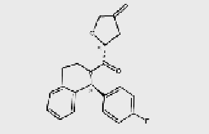 C=C1CO[C@@H](C(=O)N2CCc3ccccc3[C@@H]2c2ccc(F)cc2)C1